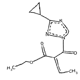 C/C=C(/C(=O)OCC)C(=O)n1cnc(C2CC2)n1